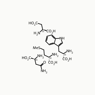 CSCC[C@H](N)C(=O)O.NC(=O)C[C@H](N)C(=O)O.N[C@@H](CC(=O)O)C(=O)O.N[C@@H](Cc1c[nH]c2ccccc12)C(=O)O